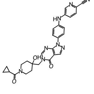 N#Cc1ccc(Nc2ccc(-n3ncc4c(=O)n(CC5(O)CCN(C(=O)C6CC6)CC5)cnc43)cc2)cn1